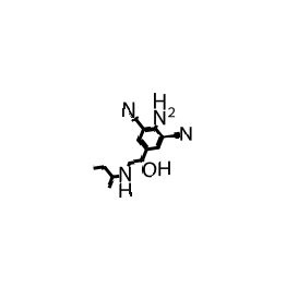 CCC(C)NCC(O)c1cc(C#N)c(N)c(C#N)c1